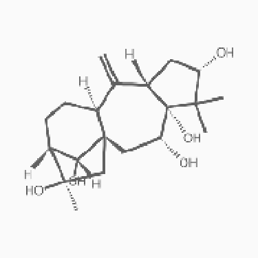 C=C1[C@@H]2CC[C@@H]3[C@@H](O)[C@@]2(C[C@@H](O)[C@@]2(O)[C@H]1C[C@H](O)C2(C)C)C[C@@]3(C)O